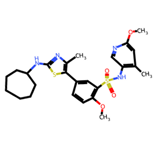 COc1cc(C)c(NS(=O)(=O)c2cc(-c3sc(NC4CCCCCC4)nc3C)ccc2OC)cn1